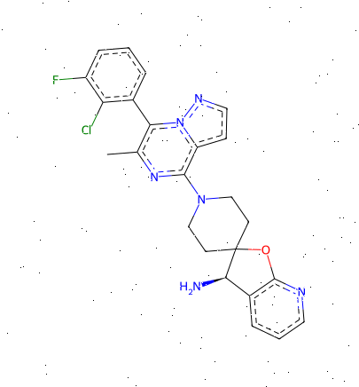 Cc1nc(N2CCC3(CC2)Oc2ncccc2[C@H]3N)c2ccnn2c1-c1cccc(F)c1Cl